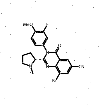 COc1ccc(-n2c([C@H]3CCCN3C)nc3c(Br)cc(C#N)cc3c2=O)cc1F